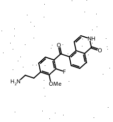 COc1c(CCN)ccc(C(=O)c2cccc3c(=O)[nH]ccc23)c1F